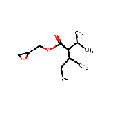 CCC(C)C(C(=O)OCC1CO1)C(C)C